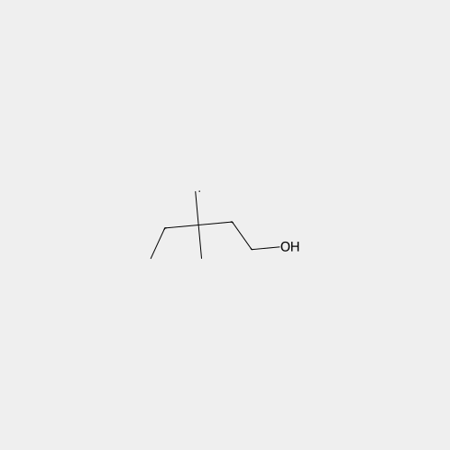 [CH2]C(C)(CC)CCO